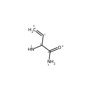 C=CC([NH])C(N)=O